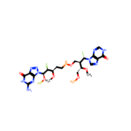 CO[C@H](CCPOC[C@H]([C@@H](COP)OC)[C@H](F)n1cnc2c(=O)[nH]cnc21)[C@H](F)[C@@H](OS)n1nnc2c(=O)[nH]c(N)nc21